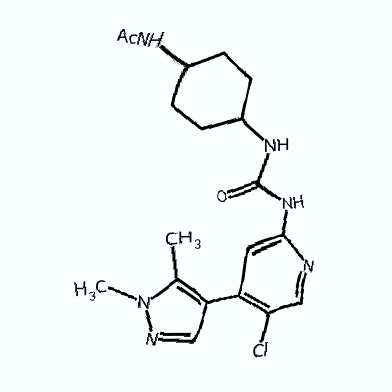 CC(=O)NC1CCC(NC(=O)Nc2cc(-c3cnn(C)c3C)c(Cl)cn2)CC1